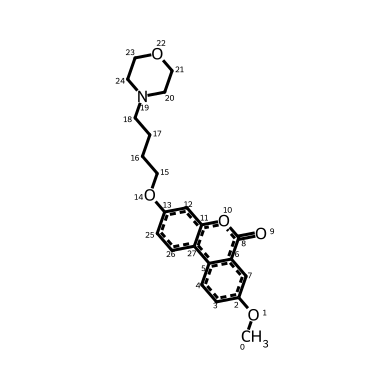 COc1ccc2c(c1)c(=O)oc1cc(OCCCCN3CCOCC3)ccc12